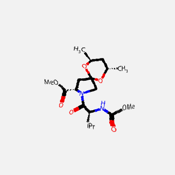 COC(=O)N[C@H](C(=O)N1CC2(C[C@H]1C(=O)OC)O[C@@H](C)C[C@H](C)O2)C(C)C